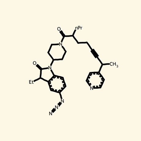 CCCC(CCC#CC(C)c1ccncc1)C(=O)N1CCC(N2C(=O)C(CC)c3cc(N=[N+]=[N-])ccc32)CC1